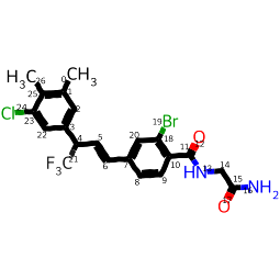 Cc1cc(C(/C=C/c2ccc(C(=O)NCC(N)=O)c(Br)c2)C(F)(F)F)cc(Cl)c1C